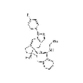 CC(C)(C)CNC(=O)c1ccccc1CC[C@]1(O)CCC2=Cc3c(cnn3-c3ccc(F)cc3)C[C@@]21C